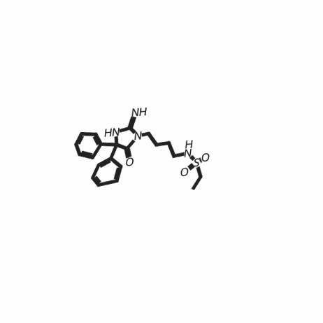 CCS(=O)(=O)NCCCCN1C(=N)NC(c2ccccc2)(c2ccccc2)C1=O